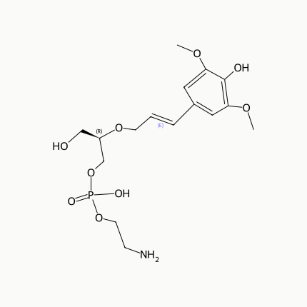 COc1cc(/C=C/CO[C@H](CO)COP(=O)(O)OCCN)cc(OC)c1O